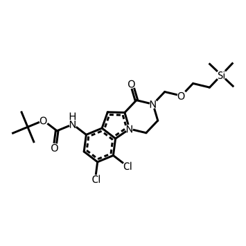 CC(C)(C)OC(=O)Nc1cc(Cl)c(Cl)c2c1cc1n2CCN(COCC[Si](C)(C)C)C1=O